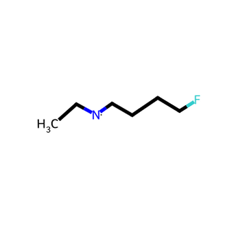 CC[N]CCCCF